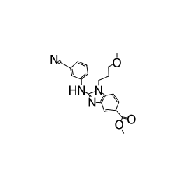 COCCCn1c(Nc2cccc(C#N)c2)nc2cc(C(=O)OC)ccc21